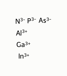 [Al+3].[As-3].[Ga+3].[In+3].[N-3].[P-3]